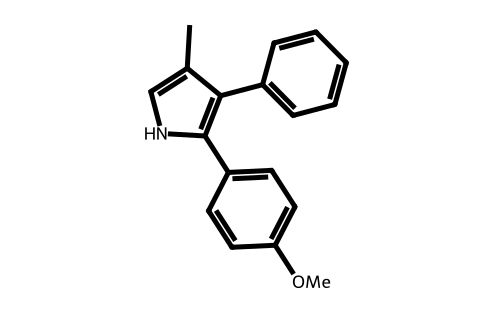 COc1ccc(-c2[nH]cc(C)c2-c2ccccc2)cc1